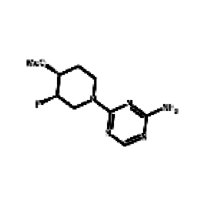 CO[C@H]1CCN(c2ncnc(N)n2)C[C@H]1F